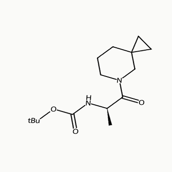 C[C@@H](NC(=O)OC(C)(C)C)C(=O)N1CCCC2(CC2)C1